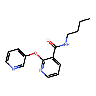 CCCCNC(=O)c1cccnc1Oc1cccnc1